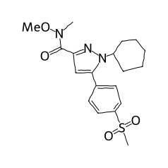 CON(C)C(=O)c1cc(-c2ccc(S(C)(=O)=O)cc2)n(C2CCCCC2)n1